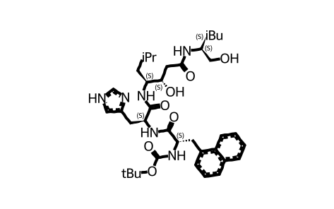 CC[C@H](C)[C@@H](CO)NC(=O)C[C@H](O)[C@H](CC(C)C)NC(=O)[C@H](Cc1c[nH]cn1)NC(=O)[C@H](Cc1cccc2ccccc12)NC(=O)OC(C)(C)C